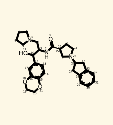 O=C(NC(CN1CCCC1)C(O)c1ccc2c(c1)OCCO2)[C@H]1CCN(C2Cc3ccccc3C2)C1